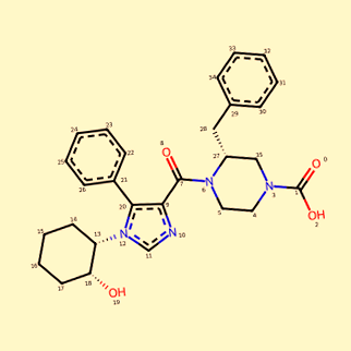 O=C(O)N1CCN(C(=O)c2ncn([C@H]3CCCC[C@H]3O)c2-c2ccccc2)[C@H](Cc2ccccc2)C1